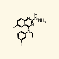 CCN(c1cccc(I)c1)c1nc(NN)nc2ccc(F)cc12